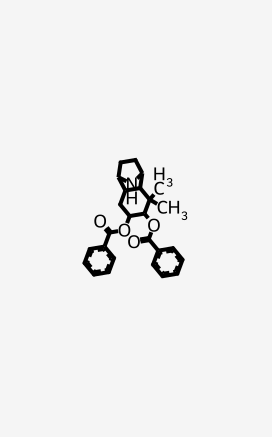 CC1(C)C(OC(=O)c2ccccc2)C(OC(=O)c2ccccc2)CC2C3CCC(N3)C21